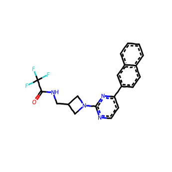 O=C(NCC1CN(c2nccc(-c3ccc4ccccc4c3)n2)C1)C(F)(F)F